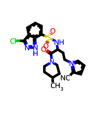 CC1CCN(C(=O)C(CCn2cccc2C#N)NS(=O)(=O)c2cccc3c(Cl)n[nH]c23)CC1